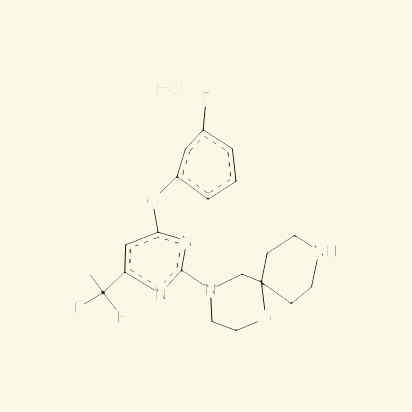 Cl.Fc1cccc(Oc2cc(C(F)(F)F)nc(N3CCOC4(CCNCC4)C3)n2)c1